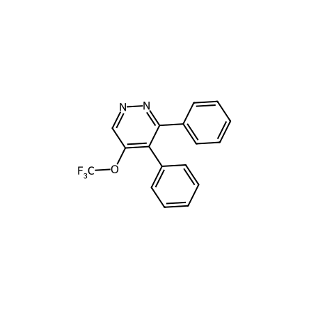 FC(F)(F)Oc1cnnc(-c2ccccc2)c1-c1ccccc1